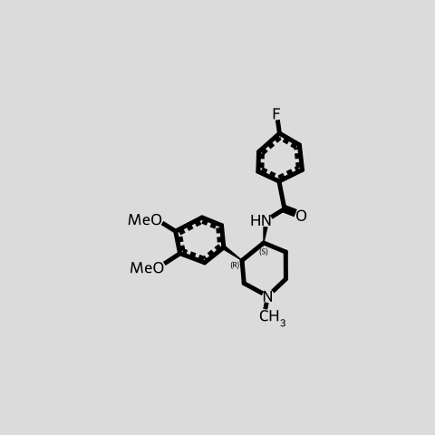 COc1ccc([C@@H]2CN(C)CC[C@@H]2NC(=O)c2ccc(F)cc2)cc1OC